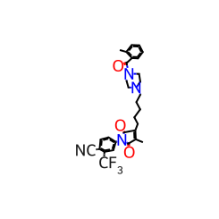 CC1=C(CCCCCN2CCN(C(=O)c3ccccc3C)CC2)C(=O)N(c2ccc(C#N)c(C(F)(F)F)c2)C1=O